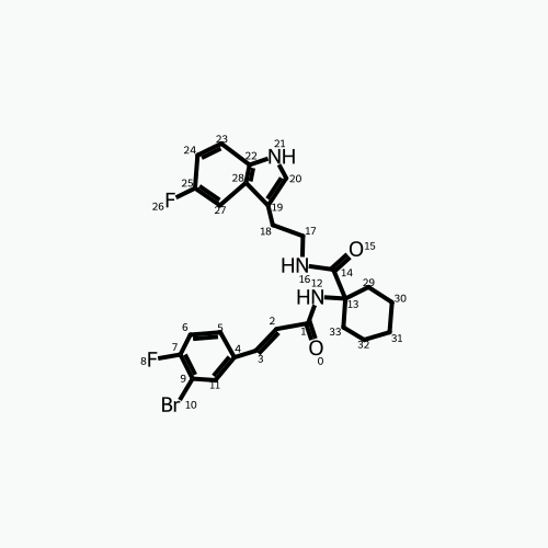 O=C(/C=C/c1ccc(F)c(Br)c1)NC1(C(=O)NCCc2c[nH]c3ccc(F)cc23)CCCCC1